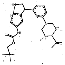 CC(=O)N1[C@H](C)CN(c2cccc(C3CNc4ncc(NC(=O)OCC(C)(C)C)cc43)n2)C[C@@H]1C